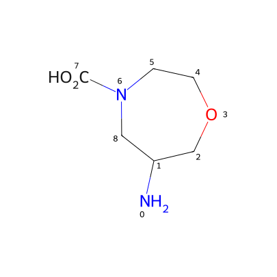 NC1COCCN(C(=O)O)C1